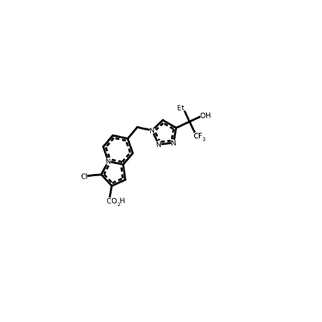 CCC(O)(c1cn(Cc2ccn3c(Cl)c(C(=O)O)cc3c2)nn1)C(F)(F)F